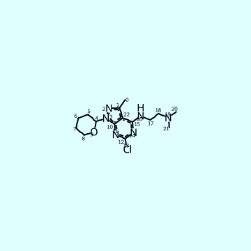 Cc1nn(C2CCCCO2)c2nc(Cl)nc(NCCN(C)C)c12